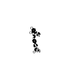 COc1cc(N2CCN(c3ccc(OCC4COC(Cn5ccnc5)(c5ccc(Cl)cc5Cl)O4)cc3)CC2)nc(OC)n1